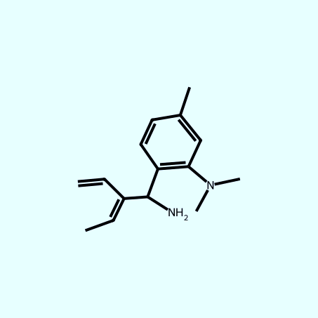 C=C/C(=C\C)C(N)c1ccc(C)cc1N(C)C